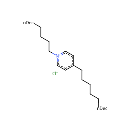 CCCCCCCCCCCCCCCc1cc[n+](CCCCCCCCCCCCCC)cc1.[Cl-]